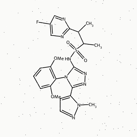 COc1cccc(OC)c1-n1c(NS(=O)(=O)C(C)C(C)c2ncc(F)cn2)nnc1-c1ccnn1C